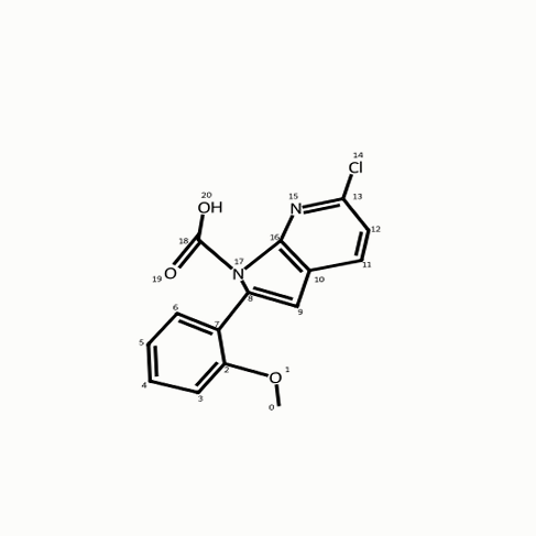 COc1ccccc1-c1cc2ccc(Cl)nc2n1C(=O)O